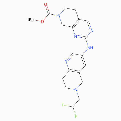 CC(C)(C)OC(=O)N1CCc2cnc(Nc3cnc4c(c3)CN(CC(F)F)CC4)nc2C1